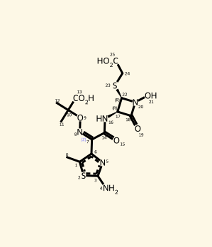 Cc1sc(N)nc1/C(=N/OC(C)(C)C(=O)O)C(=O)N[C@@H]1C(=O)N(O)[C@@H]1SCC(=O)O